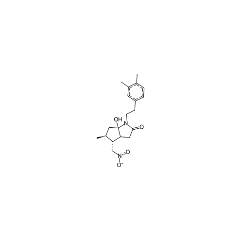 Cc1ccc(CCN2C(=O)CC3[C@H](C[N+](=O)[O-])[C@@H](C)CC32O)cc1C